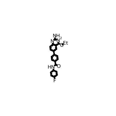 CCOc1nc(N)nc2ccc(-c3ccc(C(=O)Nc4ccc(F)cc4)cc3)cc12